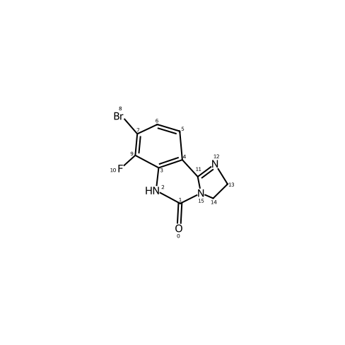 O=C1Nc2c(ccc(Br)c2F)C2=NCCN12